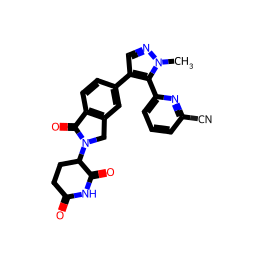 Cn1ncc(-c2ccc3c(c2)CN(C2CCC(=O)NC2=O)C3=O)c1-c1cccc(C#N)n1